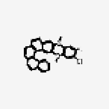 CB1c2cc(Cl)c(Cl)cc2B(C)c2cc3c(ccc4ccc5ccc6ccccc6c5c43)cc21